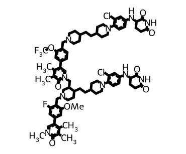 COc1cc(-c2cn(C)c(=O)c(C)c2C)cc(F)c1CN1CCC(CCC2CCN(c3ccc(NC4CCC(=O)NC4=O)cc3Cl)CC2)C(Cn2cc(-c3ccc(CN4CCC(CCC5CCN(c6ccc(NC7CCC(=O)NC7=O)cc6Cl)CC5)CC4)c(OC(F)(F)F)c3)c(C)c(C)c2=O)C1